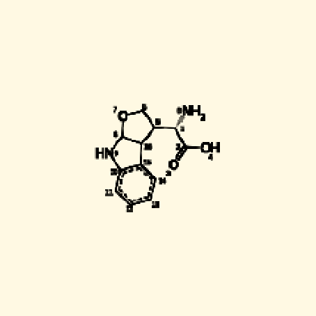 N[C@H](C(=O)O)C1COC2Nc3ccccc3C21